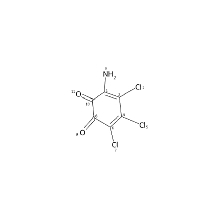 NC1=C(Cl)C(Cl)=C(Cl)C(=O)C1=O